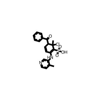 Cc1ccncc1NC1=C(S(=O)(=O)O)C(C)(Cl)C(C(=O)c2ccccc2)C=C1